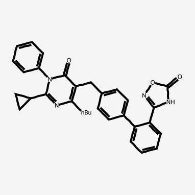 CCCCc1nc(C2CC2)n(-c2ccccc2)c(=O)c1Cc1ccc(-c2ccccc2-c2noc(=O)[nH]2)cc1